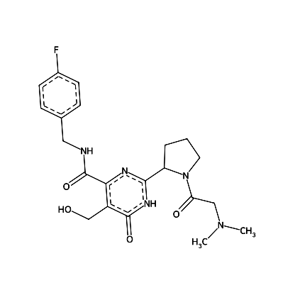 CN(C)CC(=O)N1CCCC1c1nc(C(=O)NCc2ccc(F)cc2)c(CO)c(=O)[nH]1